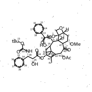 CO[C@H]1C[C@H]2OC[C@@]2(OC(C)=O)[C@H]2[C@H](OC(=O)c3ccccc3)[C@]3(O)C[C@H](OC(=O)[C@H](O)[C@@H](NC(=O)OC(C)(C)C)c4ccccc4)C(C)=C([C@@H](OC(C)=O)C(=O)[C@]12C)C3(C)C